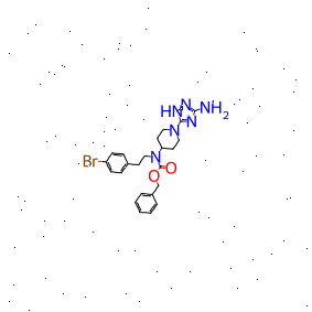 Nc1n[nH]c(N2CCC(N(CCc3ccc(Br)cc3)C(=O)OCc3ccccc3)CC2)n1